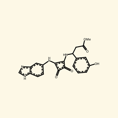 COC(=O)CC(Nc1c(Nc2ccc3[nH]cnc3c2)c(=O)c1=O)c1cccc(O)c1